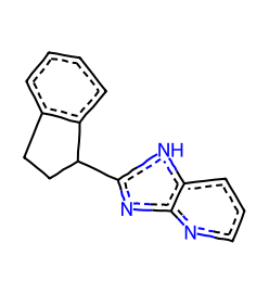 c1ccc2c(c1)CCC2c1nc2ncccc2[nH]1